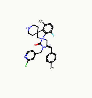 N#Cc1ccc(/C=C/C[N+]2(C(=O)NCc3ccnc(Cl)c3)CC3(CCNCC3)c3c(C(F)(F)F)ccc(F)c32)cc1